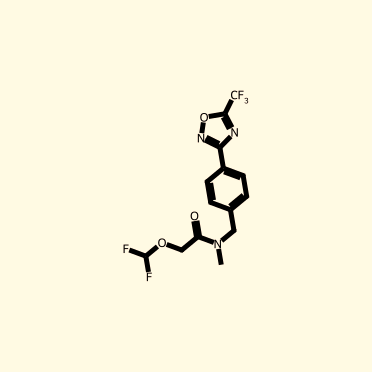 CN(Cc1ccc(-c2noc(C(F)(F)F)n2)cc1)C(=O)COC(F)F